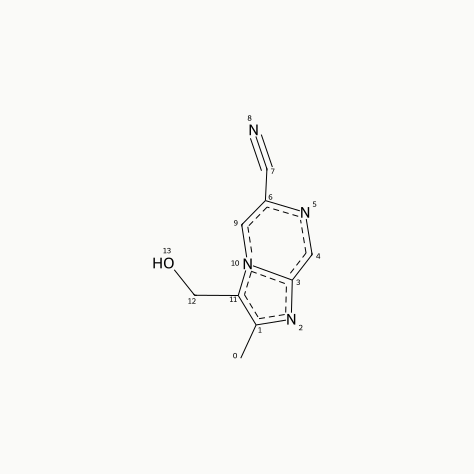 Cc1nc2cnc(C#N)cn2c1CO